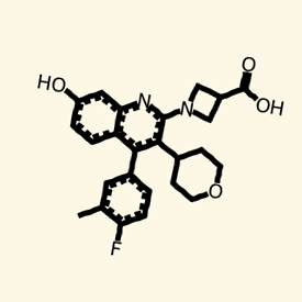 Cc1cc(-c2c(C3CCOCC3)c(N3CC(C(=O)O)C3)nc3cc(O)ccc23)ccc1F